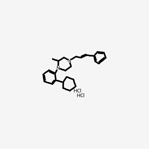 CC1CN(CC=Cc2ccccc2)CCN1c1ccccc1C1CCCCC1.Cl.Cl